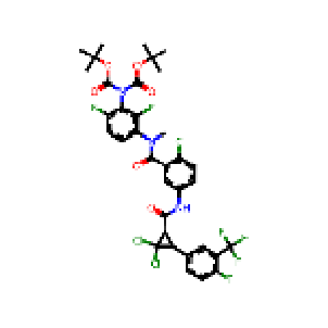 CN(C(=O)c1cc(NC(=O)[C@H]2C(c3ccc(F)c(C(F)(F)F)c3)C2(Cl)Cl)ccc1Cl)c1ccc(F)c(N(C(=O)OC(C)(C)C)C(=O)OC(C)(C)C)c1F